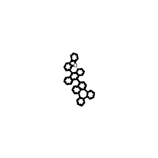 c1ccc2c(c1)-c1ccccc1-c1ccc(-c3c4ccccc4c(-c4cccc5c4oc4ccccc45)c4ccccc34)c3cccc-2c13